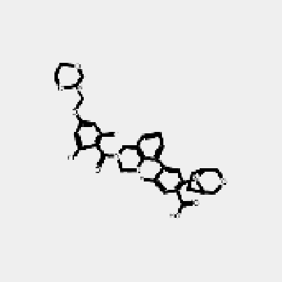 O=C(O)c1cc(F)c(-c2cccc3c2OCN(C(=O)c2c(Cl)cc(OC[C@@H]4COCCO4)cc2Cl)C3)cc1N1C2CCC1COC2